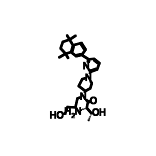 C[C@@H](O)[C@H](N)C(=O)N(CCCCO)C1CCN(c2cccc(-c3ccc4c(c3)C(C)(C)CCC4(C)C)n2)CC1